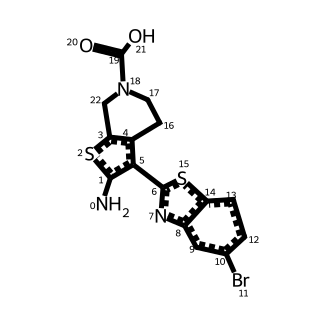 Nc1sc2c(c1-c1nc3cc(Br)ccc3s1)CCN(C(=O)O)C2